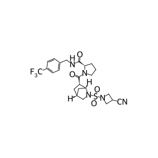 N#CC1CN(S(=O)(=O)N2C[C@H]3C[C@@H]2[C@H](C(=O)N2CCC[C@@H]2C(=O)NCc2ccc(C(F)(F)F)cc2)C3)C1